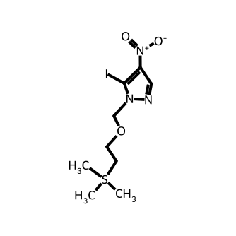 CS(C)(C)CCOCn1ncc([N+](=O)[O-])c1I